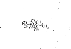 CCCCc1nc(O)c(Sc2ccc(-c3cccnc3C)cc2)c(O)c1N(C)c1cccc(F)c1